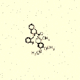 COc1cc2c(cc1OC)[C@@H](C)N(C(=O)[C@@H]1Cc3ccccc3CN1Cc1ccccc1F)CC2